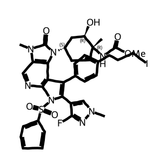 COC(=O)N[C@]1(C)CC[C@H](n2c(=O)n(C)c3cnc4c(c(-c5ccc(CCCI)cc5)c(-c5cn(C)nc5F)n4S(=O)(=O)c4ccccc4)c32)C[C@H]1O